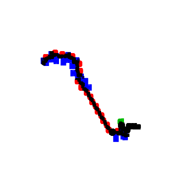 COc1ccc2c(c1)C(c1ccc(Cl)cc1)=N[C@@H](CC(=O)Nc1ccc(OCCOCCOCCOCCOCCOCCOCCOCCOCCNC(=O)CCNC(=O)c3nc(NC(=O)CCNC(=O)c4cc(NC(=O)c5nc(NC(=O)CCNC(=O)c6cc(NC(=O)c7nccn7C)cn6C)cn5C)cn4C)cn3C)cc1)c1nnc(C)n1-2